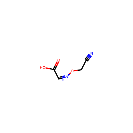 N#CCO/N=C\C(=O)O